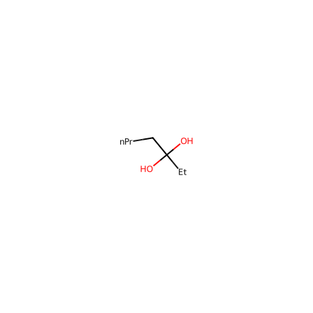 [CH2]CC(O)(O)CCCC